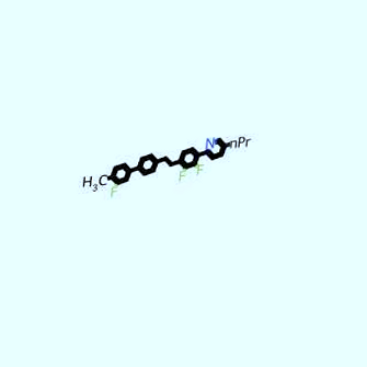 CCCc1ccc(-c2ccc(CCc3ccc(-c4ccc(C)c(F)c4)cc3)c(F)c2F)nc1